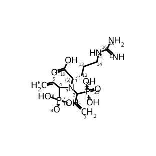 C=CC(N(C(C=C)P(=O)(O)O)[C@@H](CCCNC(=N)N)C(=O)O)P(=O)(O)O